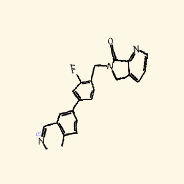 C/N=C\c1cc(-c2ccc(CN3Cc4cccnc4C3=O)c(F)c2)ccc1C